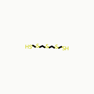 SCCSCCCSCCCSCCS